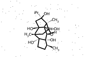 CC(C)[C@@]1(O)C[C@@]2(O)[C@]3(C)C[C@]4(O)O[C@H]([C@@]5(O)[C@@H](C)CC[C@]53O)[C@@]2(O)[C@]41C